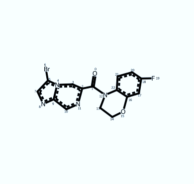 O=C(c1cn2c(Br)cnc2cn1)N1CCOc2cc(F)ccc21